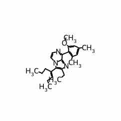 CCC=C(CCC)c1c(CC)nc2c(-c3c(C)cc(C)cc3OC)nccn12